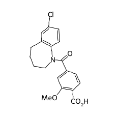 COc1cc(C(=O)N2CCCCc3cc(Cl)ccc32)ccc1C(=O)O